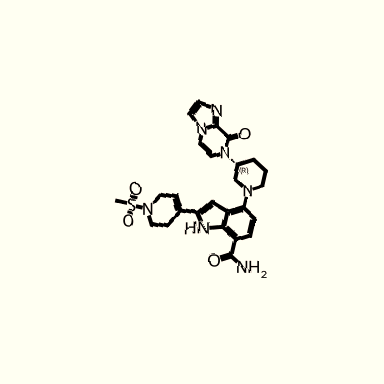 CS(=O)(=O)N1CC=C(c2cc3c(N4CCC[C@@H](n5ccn6ccnc6c5=O)C4)ccc(C(N)=O)c3[nH]2)CC1